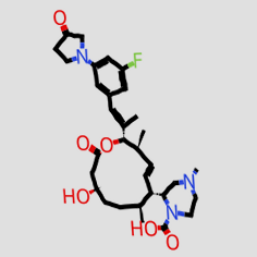 C/C(=C\c1cc(F)cc(N2CCC(=O)C2)c1)[C@H]1OC(=O)C[C@H](O)CC[C@H](C)[C@@H](C2CN(C)CCN2C(=O)O)/C=C/[C@@H]1C